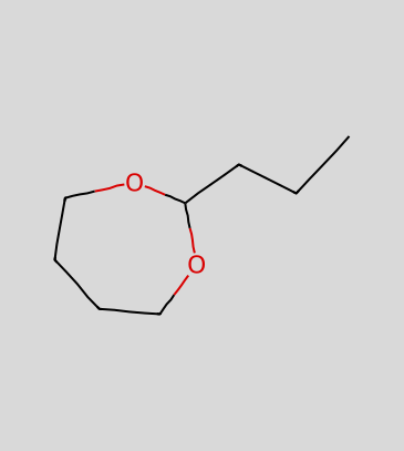 CCCC1OCCCCO1